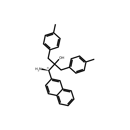 Cc1ccc(CC(O)(Cc2ccc(C)cc2)[C@H](N)c2ccc3ccccc3c2)cc1